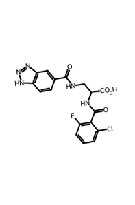 O=C(NC[C@H](NC(=O)c1c(F)cccc1Cl)C(=O)O)c1ccc2[nH]nnc2c1